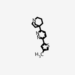 Cc1csc(-c2ccc(C34CCCN(CC3)C4)nn2)c1